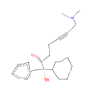 CN(C)CC#CCCC(=O)[C@](O)(c1ccccc1)C1CCCCC1